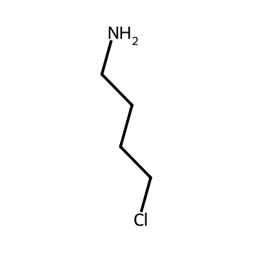 NCCCCCl